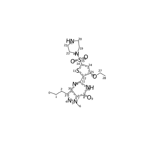 CCCc1nn(C)c2c(=O)[nH]c(-c3sc(S(=O)(=O)N4CCNCC4)cc3OCC)nc12